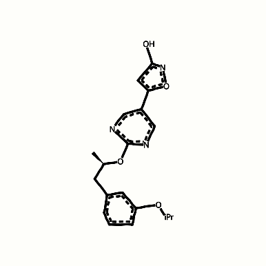 CC(C)Oc1cccc(C[C@@H](C)Oc2ncc(-c3cc(O)no3)cn2)c1